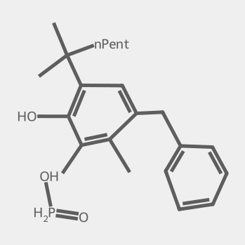 CCCCCC(C)(C)c1cc(Cc2ccccc2)c(C)c(C)c1O.O=[PH2]O